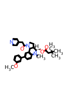 COc1cccc(-c2ccc3c(c2)C2[C@H](CCN2C(=O)Cc2ccncc2)[C@H](COC(=O)CC(C)(C)C)N3C)c1